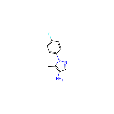 Cc1c(N)cnn1-c1ccc(F)cc1